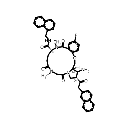 CN1CC(=O)N2C[C@H](C(=O)Cc3ccc4ccccc4c3)C(N)[C@H]2COc2ccc(F)cc2C(=O)N(C)[C@H](C(=O)NCc2cccc3ccccc23)CCC1=O